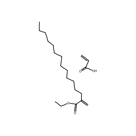 C=C(CCCCCCCCCCCCC)C(=O)OCC.C=CC(=O)O